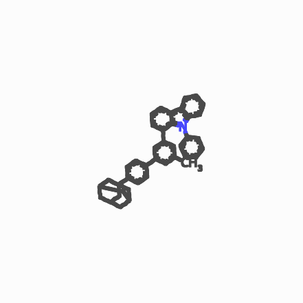 Cc1cc(-c2ccc(C34CC5CC(CC(C5)C3)C4)cc2)cc(-c2cccc3c4ccccc4n(-c4ccccc4)c23)c1